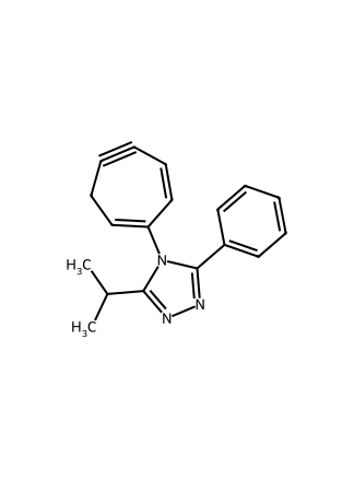 CC(C)c1nnc(-c2ccccc2)n1C1=CCC#CC=C1